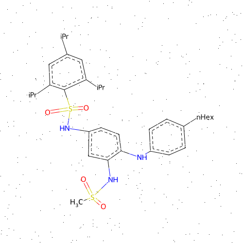 CCCCCCc1ccc(Nc2ccc(NS(=O)(=O)c3c(C(C)C)cc(C(C)C)cc3C(C)C)cc2NS(C)(=O)=O)cc1